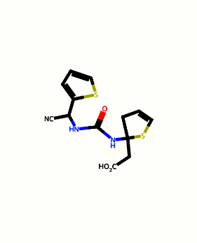 N#CC(NC(=O)NC1(CC(=O)O)CC=CS1)c1cccs1